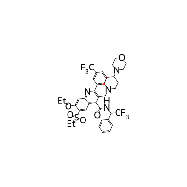 CCOc1cc2nc(-c3cccc(C(F)(F)F)c3)c(CN3CCC(N4CCOCC4)CC3)c(C(=O)NC(c3ccccc3)C(F)(F)F)c2cc1S(=O)(=O)CC